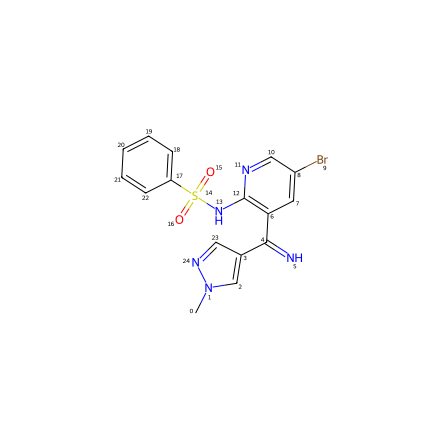 Cn1cc(C(=N)c2cc(Br)cnc2NS(=O)(=O)c2ccccc2)cn1